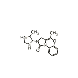 CC1=C2CN(C3NCNC3C)C(=O)N2c2ccccc2O1